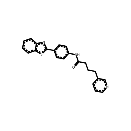 O=C(CCCc1cccnc1)Nc1ccc(-c2nc3ccccc3s2)cc1